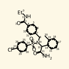 CCNC(=O)c1ccc(CN(C(C(N)=O)c2ccccc2C)S(=O)(=O)c2ccc(Cl)cc2)cc1